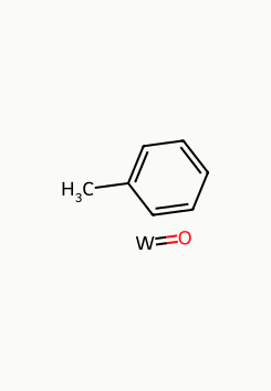 Cc1ccccc1.[O]=[W]